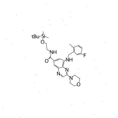 Cc1ccc(F)cc1CNc1cc(C(=O)NCCO[Si](C)(C)C(C)(C)C)cc2ncc(N3CCOCC3)nc12